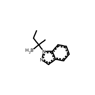 BC(C)(CC)n1ncc2ccccc21